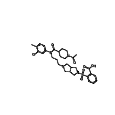 CC(=O)N1CCC(C(=O)N(CCCN2CC3CN(S(=O)(=O)c4ccccc4C(=O)O)CC3C2)c2ccc(C)c(Cl)c2)CC1